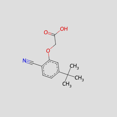 CC(C)(C)c1ccc(C#N)c(OCC(=O)O)c1